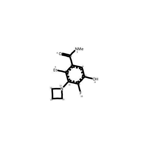 CCc1c(C(=O)NC)cc(O)c(F)c1N1CCC1